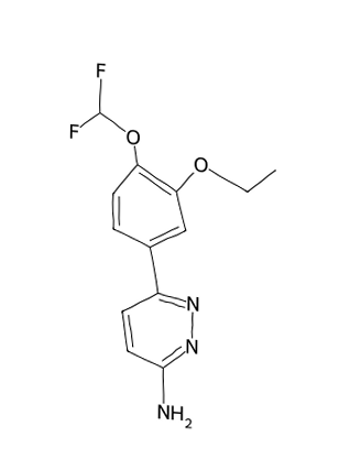 CCOc1cc(-c2ccc(N)nn2)ccc1OC(F)F